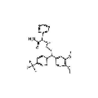 COc1ccc(C(CCNC(C(N)=O)c2cccnc2)c2ccc(C(F)(F)F)cc2)cc1OC